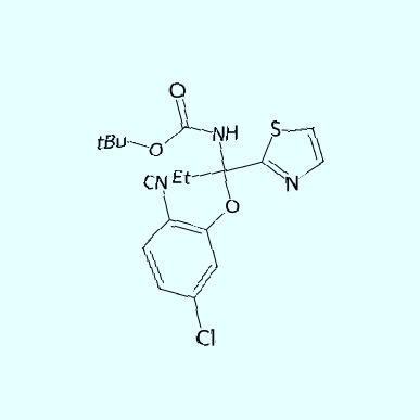 CCC(NC(=O)OC(C)(C)C)(Oc1cc(Cl)ccc1C#N)c1nccs1